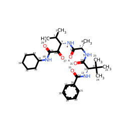 CC(C)[C@H](NC(=O)[C@H](C)NC(=O)[C@@H](NC(=O)c1ccccc1)C(C)(C)C)C(=O)C(=O)NC1CCCCC1